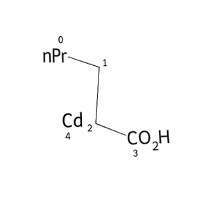 CCCCCC(=O)O.[Cd]